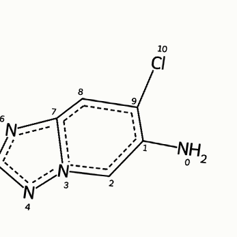 Nc1cn2ncnc2cc1Cl